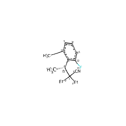 CCC(C#N)(CC)[C@H](C)c1c(C)cccc1F